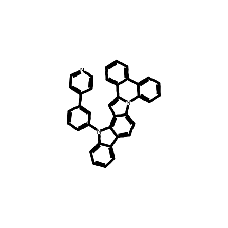 c1cc(-c2ccncc2)cc(-n2c3ccccc3c3ccc4c(cc5c6ccccc6c6ccccc6n54)c32)c1